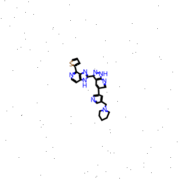 c1csc(-c2nccc3[nH]c(-c4n[nH]c5ncc(-c6cncc(CN7CCCCC7)c6)cc45)nc23)c1